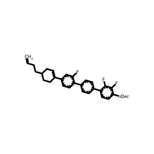 C=CCCC1CC=C(c2ccc(-c3ccc(-c4ccc(CCCCCCCCCC)c(F)c4F)cc3)c(F)c2)CC1